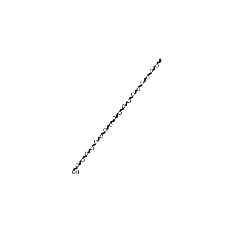 C=CCOCCOCCOCCOCCOCCOCCOCCOCCOCCOCCOCCOCCOCCOCCOCCOCCOCCOCCO